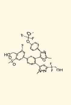 COC(F)(F)Oc1ccc(-c2nc(C)oc2-c2cc(-c3cc(F)c(CO)c(S(C)(=O)=O)c3)ccc2-c2cc(C(F)(F)CO)nn2C)cc1